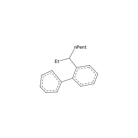 CCCCCC(CC)c1ccccc1-c1ccccc1